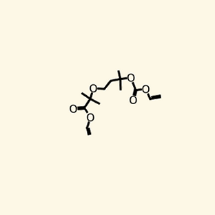 C=COC(=O)OC(C)(C)CCOC(C)(C)C(=O)OC=C